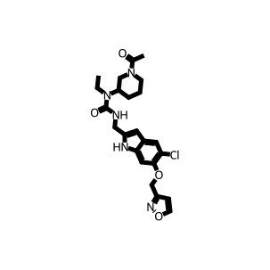 CCN(C(=O)NCc1cc2cc(Cl)c(OCc3ccon3)cc2[nH]1)C1CCCN(C(C)=O)C1